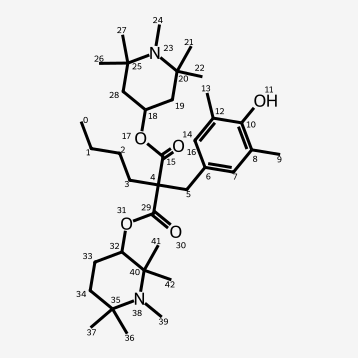 CCCCC(Cc1cc(C)c(O)c(C)c1)(C(=O)OC1CC(C)(C)N(C)C(C)(C)C1)C(=O)OC1CCC(C)(C)N(C)C1(C)C